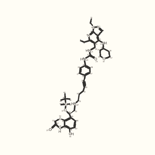 CCc1nc2c(cnn2CC)c(NC2CCOCC2)c1CNC(=O)Nc1ccc(C#CCCCNC[C@H](O[Si](C)(C)C(C)(C)C)c2ccc(O)c3c2OCC(=O)N3)cc1